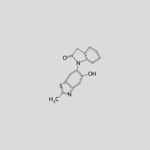 Cc1nc2cc(O)c(N3C(=O)Cc4ccccc43)cc2s1